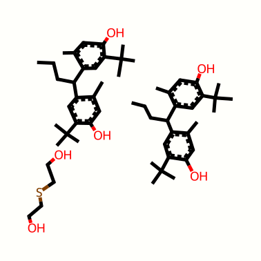 CCCC(c1cc(C(C)(C)C)c(O)cc1C)c1cc(C(C)(C)C)c(O)cc1C.CCCC(c1cc(C(C)(C)C)c(O)cc1C)c1cc(C(C)(C)C)c(O)cc1C.OCCSCCO